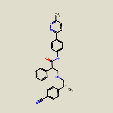 Cc1ccc(-c2ccc(NC(=O)C(CNC[C@H](C)c3ccc(C#N)cc3)c3ccccc3)cc2)nn1